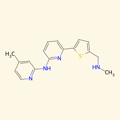 CNCc1ccc(-c2cccc(Nc3cc(C)ccn3)n2)s1